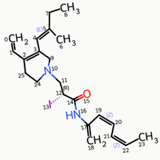 C=CC1=C(/C=C(\C)CC)CN(C[C@@H](I)C(=O)NC(=C)/C=C\C=C/C)CC1